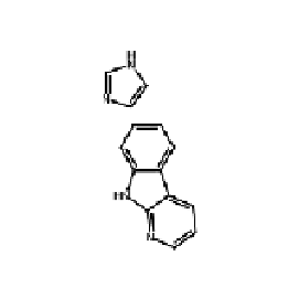 c1c[nH]cn1.c1ccc2c(c1)[nH]c1ncccc12